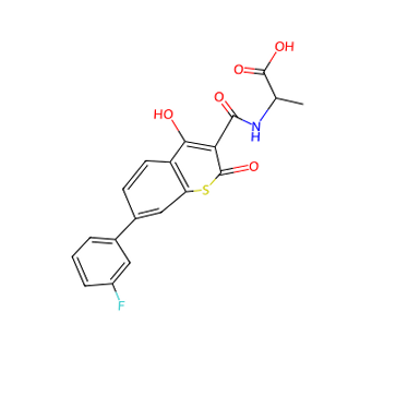 CC(NC(=O)c1c(O)c2ccc(-c3cccc(F)c3)cc2sc1=O)C(=O)O